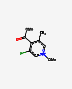 COC(=O)c1c(C)c[n+](OC)cc1F